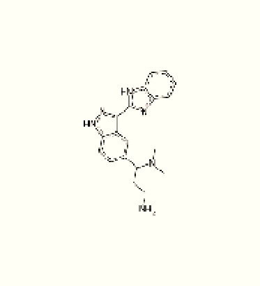 CN(C)C(CCN)c1ccc2[nH]nc(-c3nc4ccccc4[nH]3)c2c1